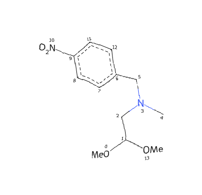 COC(CN(C)Cc1ccc([N+](=O)[O-])cc1)OC